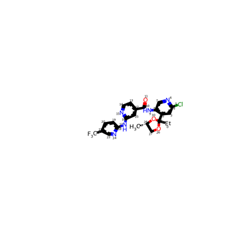 CCC1(c2cc(Cl)ncc2NC(=O)c2ccnc(Nc3ccc(C(F)(F)F)cn3)c2)OC[C@H](C)O1